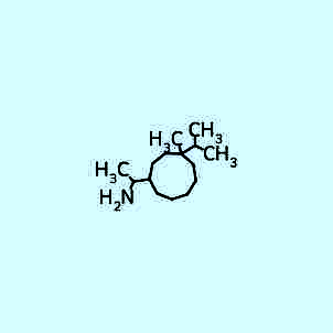 CC(N)C1CCCCCC(C)(C(C)C)CC1